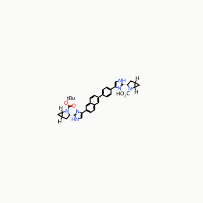 CC(C)(C)OC(=O)N1[C@H](c2nc(-c3ccc4cc(-c5ccc(-c6c[nH]c([C@@H]7C[C@@H]8C[C@@H]8N7C(=O)O)n6)cc5)ccc4c3)c[nH]2)C[C@@H]2C[C@@H]21